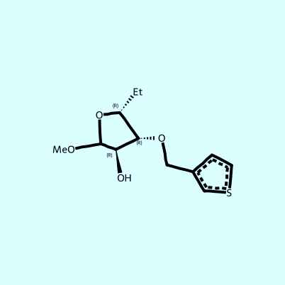 CC[C@H]1OC(OC)[C@H](O)[C@H]1OCc1ccsc1